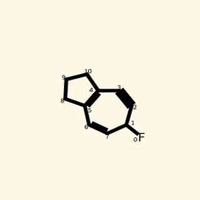 FC1C#CC2=C(C=C1)CCC2